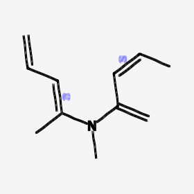 C=C/C=C(\C)N(C)C(=C)/C=C\C